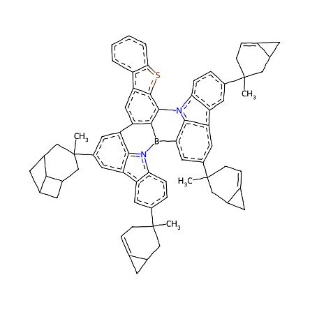 CC1(c2ccc3c(c2)c2cc(C4(C)CC5CC6CC(C4)C65)cc4c2n3B2c3c-4cc4c(sc5ccccc54)c3-n3c4ccc(C5(C)CC=C6CC6C5)cc4c4cc(C5(C)CC=C6CC6C5)cc2c43)CC=C2CC2C1